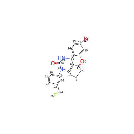 O=C1CCCC2=C1C(c1ccc(Br)cc1)NC(=O)N2c1cccc(CF)c1